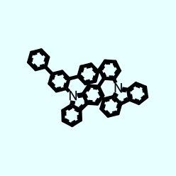 c1ccc(-c2ccc(-n3c4ccccc4c4ccc(-c5ccccc5-n5c6ccccc6c6ccccc65)cc43)c(-c3ccccc3)c2)cc1